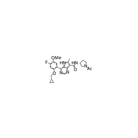 COc1cc(-c2ncnc3c(C(=O)N[C@@H]4CCN(C(C)=O)C4)c(C)[nH]c23)c(OCC2CC2)cc1F